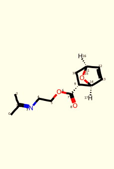 CC(C)=NCCOC(=O)[C@@H]1C[C@H]2C=C[C@@H]1O2